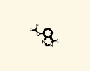 FC(F)Oc1cccc2c(Cl)ncnc12